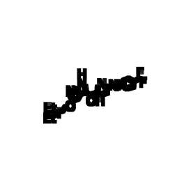 CCN(CC)CCOc1cnc2[nH]cc(C(O)c3ccc(NCc4ccc(C(F)F)cc4)nc3)c2c1